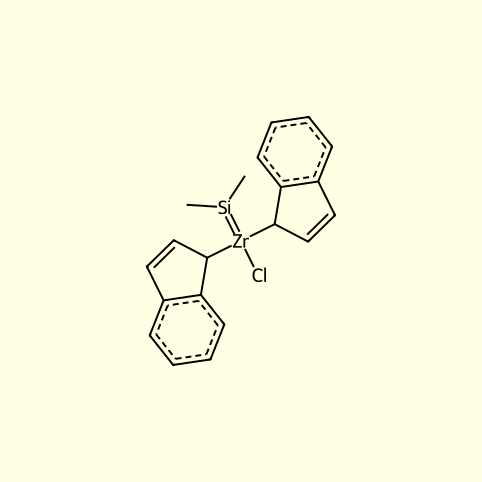 C[Si](C)=[Zr]([Cl])([CH]1C=Cc2ccccc21)[CH]1C=Cc2ccccc21